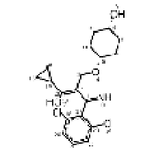 N=C(/C(CO[C@H]1CC[C@@H](O)CC1)=C(\O)C1CC1)c1c(Cl)cccc1Cl